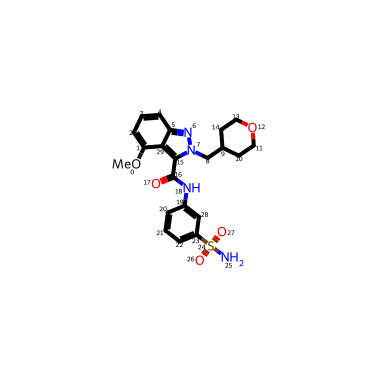 COc1cccc2nn(CC3CCOCC3)c(C(=O)Nc3cccc(S(N)(=O)=O)c3)c12